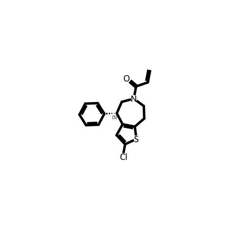 C=CC(=O)N1CCc2sc(Cl)cc2[C@H](c2ccccc2)C1